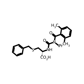 Cc1cccc(C)c1C(=O)N(C(=O)N[C@@H](CSCc1ccccc1)C(=O)O)C(C)C